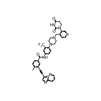 Cc1ccc(C(=O)Nc2ccc(N3CCN(Cc4ccncc4N4CCC(=O)NC4=O)CC3)c(C(F)(F)F)c2)cc1C#Cc1cnc2cccnn12